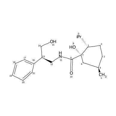 CC(C)[C@@H]1CC[C@@H](C)C[C@@]1(O)C(=O)NC[C@H](CO)c1ccccc1